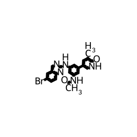 CC(=O)Nc1cc(Nc2ncc3cc(Br)ccc3n2)cc(-c2c[nH]c(=O)c(C)c2)c1